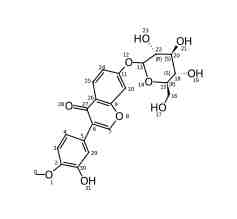 COc1ccc(-c2coc3cc(OC4O[C@H](CO)[C@@H](O)[C@H](O)[C@H]4O)ccc3c2=O)cc1O